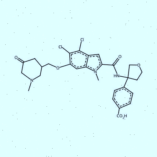 CN1CC(=O)CC(COc2cc3c(cc(C(=O)NC4(c5ccc(C(=O)O)cc5)CCOC4)n3C)c(Cl)c2Cl)C1